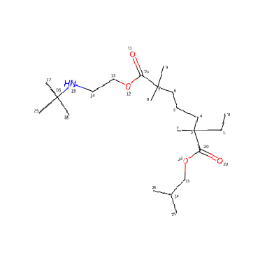 CCC(C)(CCCC(C)(C)C(=O)OCCNC(C)(C)C)C(=O)OCC(C)C